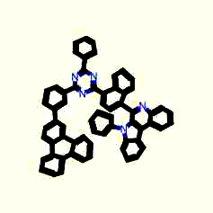 c1ccc(-c2nc(-c3cccc(-c4ccc5c6ccccc6c6ccccc6c5c4)c3)nc(-c3ccc(-c4nc5ccccc5c5c6ccccc6n(-c6ccccc6)c45)c4ccccc34)n2)cc1